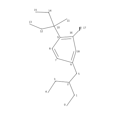 CCC(CC)Cc1ccc(C(C)(CC)CC)c(F)c1